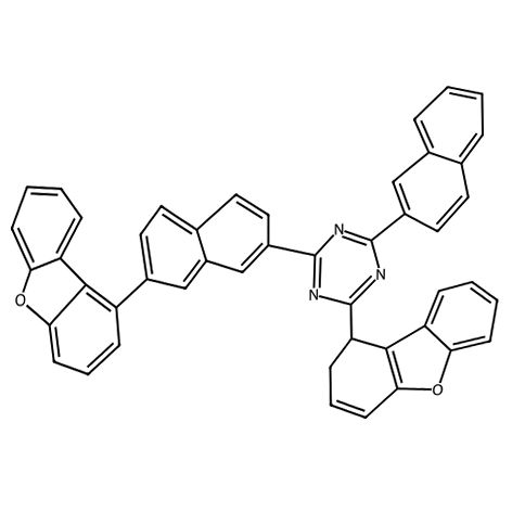 C1=Cc2oc3ccccc3c2C(c2nc(-c3ccc4ccccc4c3)nc(-c3ccc4ccc(-c5cccc6oc7ccccc7c56)cc4c3)n2)C1